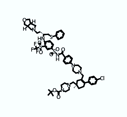 CC(C)(C)OC(=O)N1CCN(C[C@]2(C)CCC(c3ccc(Cl)cc3)=C(CN3CCN(c4ccc(C(=O)NS(=O)(=O)c5ccc(N[C@H](CCN6C[C@H]7COC[C@H]7C6)CSc6ccccc6)c(S(=O)(=O)C(F)(F)F)c5)cc4)CC3)C2)CC1